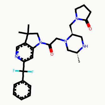 C[C@@H]1CN(CC(=O)N2CC(C)(C)c3cnc(C(F)(F)c4ccccc4)cc32)[C@@H](CN2CCCC2=O)CN1